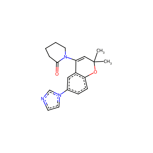 CC1(C)C=C(N2CCCCC2=O)c2cc(-n3ccnc3)ccc2O1